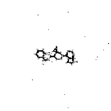 C[C@@H](NC(O)C1CCN(c2ncnc3[nH]ccc23)CC12CC2)c1ccccc1